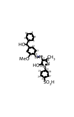 COc1cc(C(O)c2ccccc2)ccc1/N=N/c1c(C)nn(-c2ccc(S(=O)(=O)O)cc2)c1O